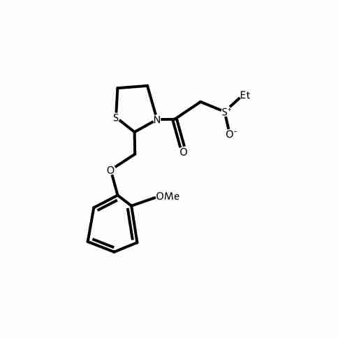 CC[S+]([O-])CC(=O)N1CCSC1COc1ccccc1OC